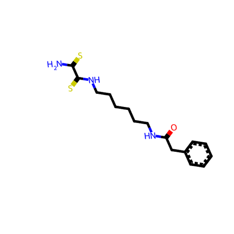 NC(=S)C(=S)NCCCCCCNC(=O)Cc1ccccc1